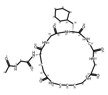 CC(=O)NCC(=O)N[C@H]1CCC(=O)NCCCCNC(=O)CNC(=O)CNC(=O)[C@@H](CC2CCCCC2)NC(=O)CNC1=O